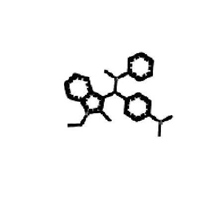 CCn1c(C)c(C(c2ccc(N(C)C)cc2)N(C)c2ccccc2)c2ccccc21